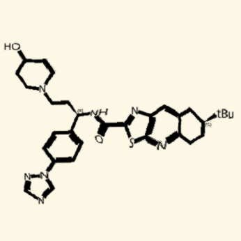 CC(C)(C)[C@H]1CCc2nc3sc(C(=O)N[C@H](CCN4CCC(O)CC4)c4ccc(-n5cncn5)cc4)nc3cc2C1